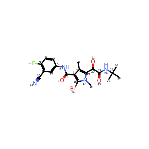 Cc1c(C(=O)Nc2ccc(F)c(C#N)c2)c(Br)n(C)c1C(=O)C(=O)NC(C)(C)C